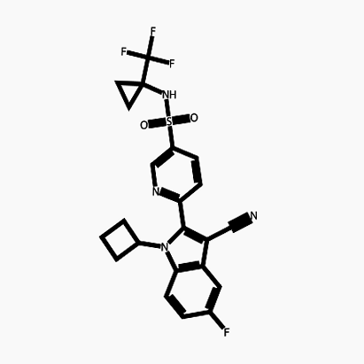 N#Cc1c(-c2ccc(S(=O)(=O)NC3(C(F)(F)F)CC3)cn2)n(C2CCC2)c2ccc(F)cc12